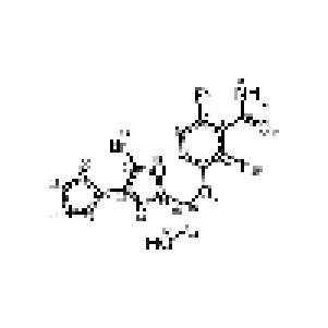 NC(=O)c1c(F)ccc(O[C@H](CO)c2nc(-c3cncs3)c(Br)o2)c1F